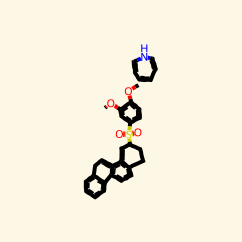 C1=CC=CNC=C1.COc1ccc(S(=O)(=O)C2C=c3c(ccc4c3=CCc3ccccc3-4)CC2)cc1OC